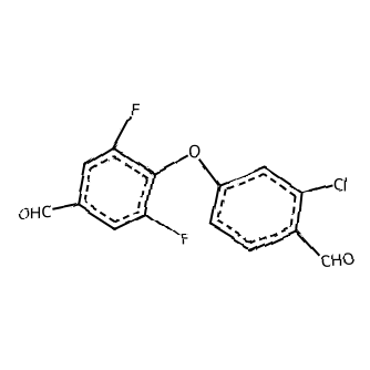 O=Cc1cc(F)c(Oc2ccc(C=O)c(Cl)c2)c(F)c1